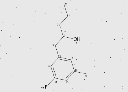 CCCC(O)Cc1cc(C)cc(F)c1